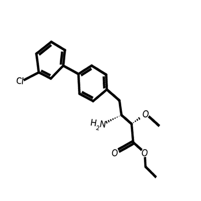 CCOC(=O)[C@@H](OC)[C@H](N)Cc1ccc(-c2cccc(Cl)c2)cc1